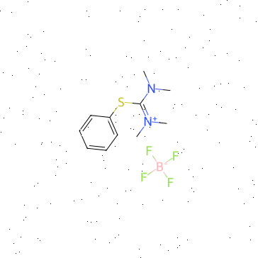 CN(C)C(Sc1ccccc1)=[N+](C)C.F[B-](F)(F)F